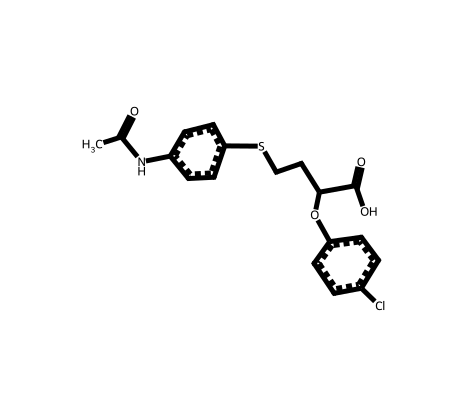 CC(=O)Nc1ccc(SCCC(Oc2ccc(Cl)cc2)C(=O)O)cc1